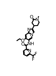 CCOc1cc2nc(C3CCN(C)C(=O)C3)cn2cc1NC(=O)c1cccc(C(F)F)n1